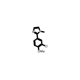 COc1ccc(-c2nccn2C)cc1Cl